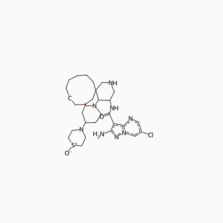 Nc1nn2cc(Cl)cnc2c1C(=O)NC1CNCC2(CCCCCCCCC2)C1N1CCC(N2CC[S+]([O-])CC2)CC1